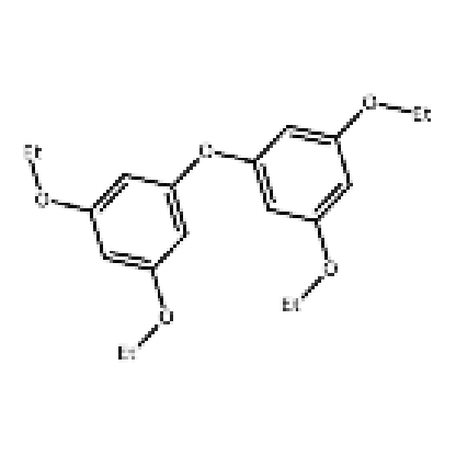 CCOc1cc(OCC)cc(Oc2cc(OCC)cc(OCC)c2)c1